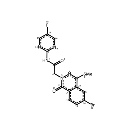 CSc1nn(CC(=O)Nc2ncc(F)cn2)c(=O)c2ccc(Br)cc12